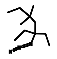 CCC(C)(C)CC(CC)(CC)N=[N+]=[N-]